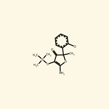 CC1(c2ccccc2Cl)OC(N)=C(O[Si](C)(C)C)C1=O